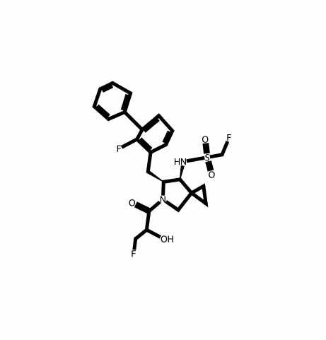 O=C(C(O)CF)N1CC2(CC2)[C@H](NS(=O)(=O)CF)[C@@H]1Cc1cccc(-c2ccccc2)c1F